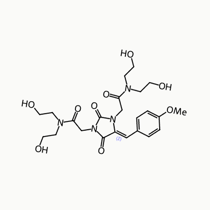 COc1ccc(/C=C2/C(=O)N(CC(=O)N(CCO)CCO)C(=O)N2CC(=O)N(CCO)CCO)cc1